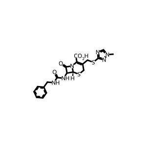 Cn1cnc(SCC2=C(C(=O)O)N3C(=O)C(NC(=O)NCc4ccccc4)[C@H]3SC2)n1